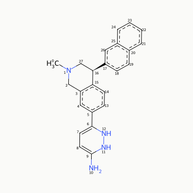 CN1Cc2cc(C3=CC=C(N)NN3)ccc2[C@H](c2ccc3ccccc3c2)C1